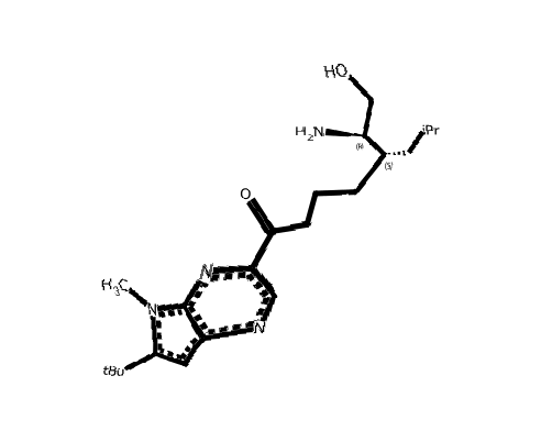 CC(C)C[C@H](CCCC(=O)c1cnc2cc(C(C)(C)C)n(C)c2n1)[C@@H](N)CO